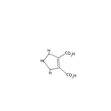 O=C(O)C1=C(C(=O)O)[IH][IH][IH]1